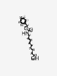 O=C(NCCCCCCCCCO)OCc1ccccc1